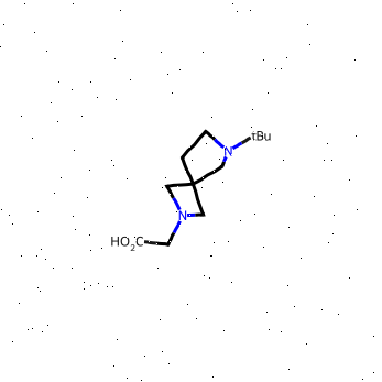 CC(C)(C)N1CCC2(CN(CC(=O)O)C2)C1